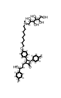 CN(CCCCCCCCOc1ccc(C2C(CCC(O)c3ccc(F)cc3)C(=O)N2c2ccc(F)cc2)cc1)CC(O)C(O)C(O)C(O)CO